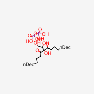 CCCCCCCCCCCCCC(=O)C(O)(C(=O)CCCCCCCCCCCCC)C(O)CO.O=P(O)(O)OP(=O)(O)O